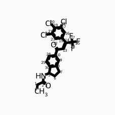 CCC(=O)NC1CCc2cc(C(=O)/C=C(\c3cc(Cl)c(Cl)c(Cl)c3)C(F)(F)F)ccc21